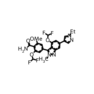 CCn1cc(-c2cc(OC(F)F)c3c(-c4cc(OC)c(C(N)=O)c(OC(F)F)c4)n(C)nc3c2)cn1